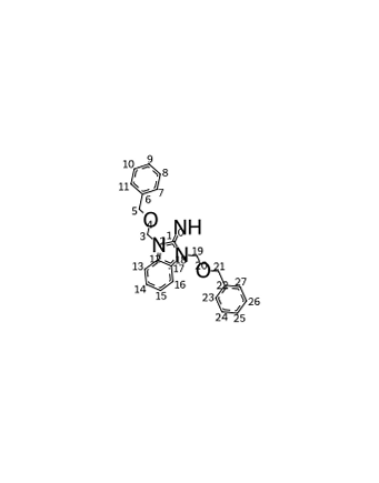 N=c1n(COCc2ccccc2)c2ccccc2n1COCc1ccccc1